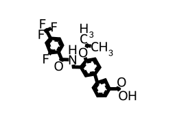 CC(C)Oc1ccc(-c2cccc(C(=O)O)c2)cc1CNC(=O)c1ccc(C(F)(F)F)cc1F